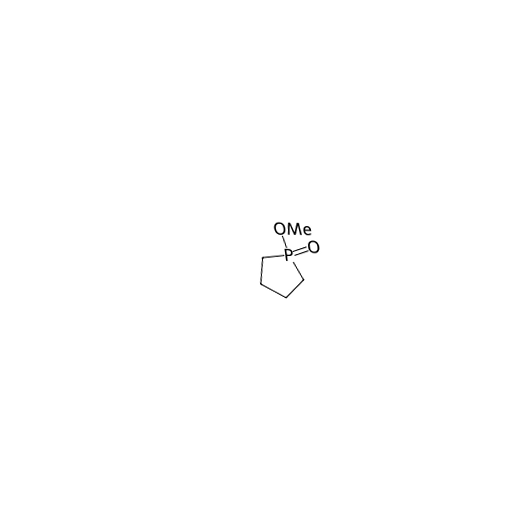 COP1(=O)CCCC1